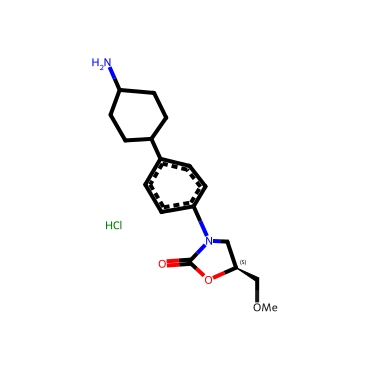 COC[C@@H]1CN(c2ccc(C3CCC(N)CC3)cc2)C(=O)O1.Cl